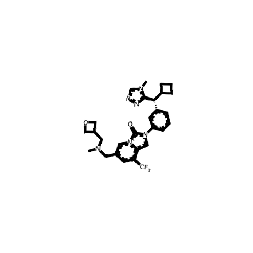 CN(Cc1cc(C(F)(F)F)c2cn(-c3cccc([C@H](c4nncn4C)C4CCC4)c3)c(=O)n2c1)CC1COC1